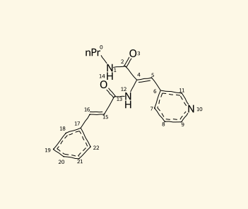 CCCNC(=O)/C(=C/c1cccnc1)NC(=O)C=Cc1ccccc1